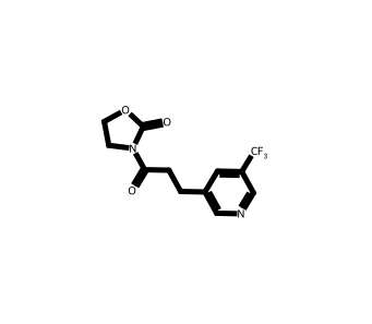 O=C(CCc1cncc(C(F)(F)F)c1)N1CCOC1=O